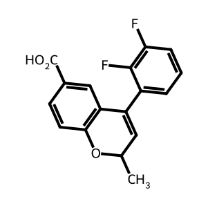 CC1C=C(c2cccc(F)c2F)c2cc(C(=O)O)ccc2O1